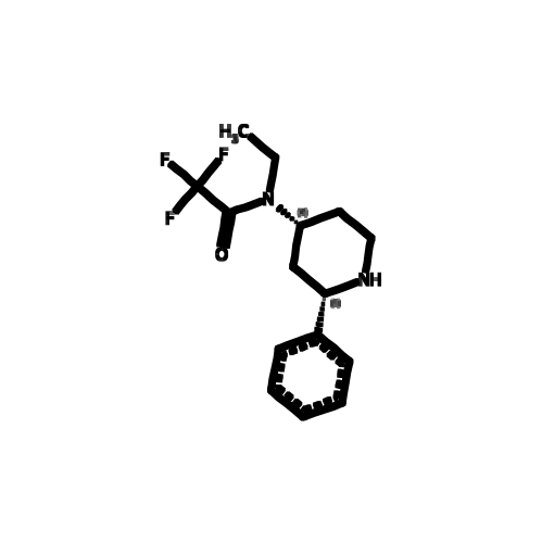 CCN(C(=O)C(F)(F)F)[C@@H]1CCN[C@H](c2ccccc2)C1